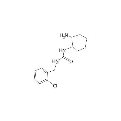 NC1CCCCC1NC(=O)NCc1ccccc1Cl